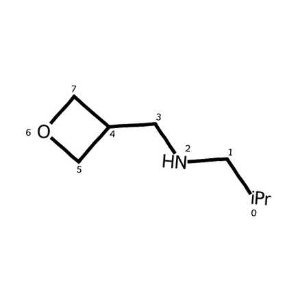 CC(C)CNCC1COC1